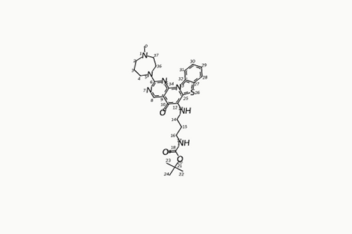 CN1CCCN(c2ncc3c(=O)c(NCCCNC(=O)OC(C)(C)C)c4sc5ccccc5n4c3n2)CC1